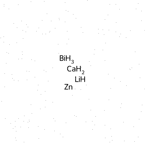 [BiH3].[CaH2].[LiH].[Zn]